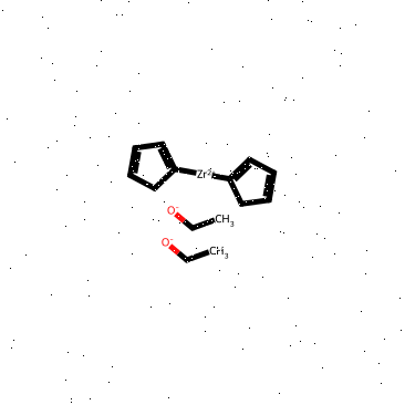 C1=CC[C]([Zr+2][C]2=CC=CC2)=C1.CC[O-].CC[O-]